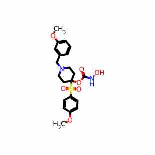 COc1ccc(S(=O)(=O)C2(OC(=O)NO)CCN(Cc3cccc(OC)c3)CC2)cc1